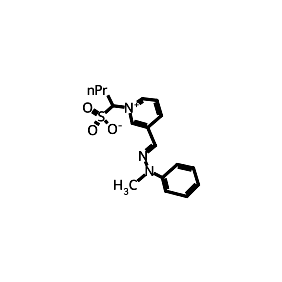 CCCC([n+]1cccc(C=NN(C)c2ccccc2)c1)S(=O)(=O)[O-]